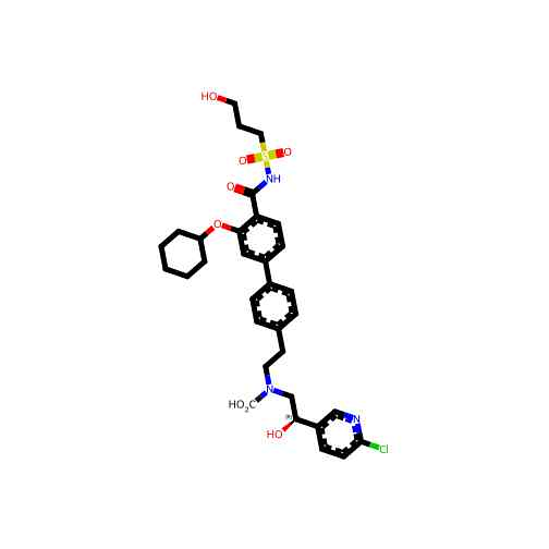 O=C(NS(=O)(=O)CCCO)c1ccc(-c2ccc(CCN(C[C@H](O)c3ccc(Cl)nc3)C(=O)O)cc2)cc1OC1CCCCC1